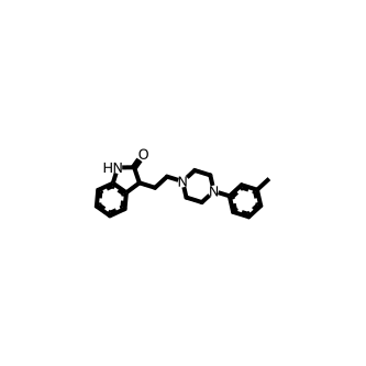 Cc1cccc(N2CCN(CCC3C(=O)Nc4ccccc43)CC2)c1